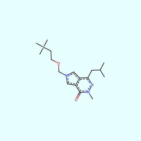 CC(C)Cc1nn(C)c(=O)c2cn(COCC[Si](C)(C)C)cc12